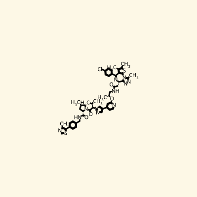 Cc1ncsc1-c1ccc(CNC(=O)[C@@H]2C[C@@H](C)CN2C(=O)[C@@H](C(C)C)n2cc(-c3ccnc(O[C@H](C)CNC(=O)C[C@@H]4N=C(c5ccc(Cl)cc5)c5c(sc(C)c5C)-n5c(C)nnc54)c3)cn2)cc1